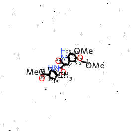 COCCOc1cc2cc(C(=O)Nc3cc(C(=O)OC)ccc3C)c(=O)[nH]c2cc1OC